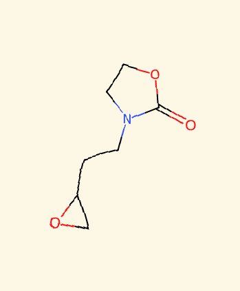 O=C1OCCN1CCC1CO1